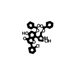 Cl.O=C(OCC1NCCC1c1c(OC(=O)c2ccccc2)cc(O)c2c(=O)cc(-c3ccccc3Cl)oc12)c1ccccc1